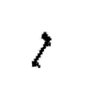 C[N+](C)(CCNCCCCCCCCCCCCC[SiH3])Cc1ccccc1